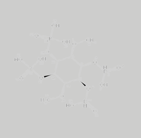 CO[C@@H]1[C@H](O[PH](=O)O)[C@@H](O[PH](=O)O)[C@H](OC)[C@@H](OP(=O)(O)O)[C@@H]1OP(=O)(O)O